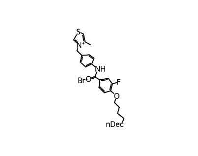 CCCCCCCCCCCCCCOc1ccc(C(=O)Nc2ccc(C[n+]3cscc3C)cc2)cc1F.[Br-]